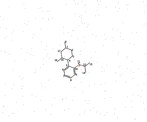 CC1CCC(c2ccccc2SC(C)C)C(C)C1